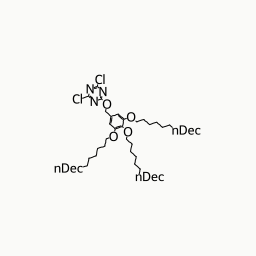 CCCCCCCCCCCCCCCCOc1cc(COc2nc(Cl)nc(Cl)n2)cc(OCCCCCCCCCCCCCCCC)c1OCCCCCCCCCCCCCCCC